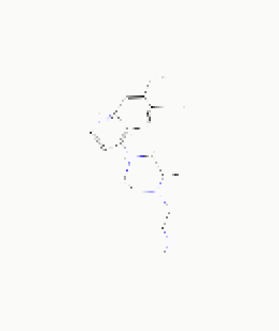 COc1cc2nccc(N3CCN(CCNC(=O)O)C(C)C3)c2cc1OC